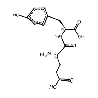 N[C@@H](CCC(=O)O)C(=O)N[C@@H](Cc1ccc(O)cc1)C(=O)O